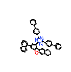 c1ccc(-c2ccc(-c3nc(-c4ccc(-c5ccccc5)cc4)nc(-c4cc(-c5cccc6ccccc56)cc5oc6cc7ccccc7cc6c45)n3)cc2)cc1